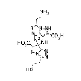 NCCc1nnc2c(NC3(N)C(C(=O)O)=Nn4c(CCO)nnc43)c(C(=O)O)[nH]n12